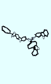 c1ccc(-c2nc3cc4oc5cc(N(c6ccc7c(c6)oc6ccccc67)c6ccc7c(c6)oc6ccccc67)ccc5c4cc3o2)cc1